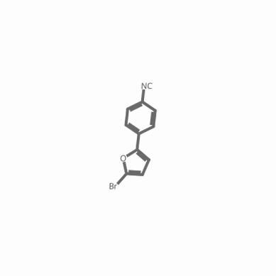 [C-]#[N+]c1ccc(-c2ccc(Br)o2)cc1